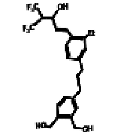 CCc1cc(CCCc2ccc(CO)c(CO)c2)ccc1C=CC(O)C(C(F)(F)F)C(F)(F)F